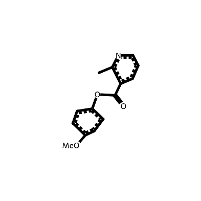 COc1ccc(OC(=O)c2cccnc2C)cc1